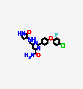 NC(=O)c1cc(CNC2CCNC2=O)nc(-c2ccc(Oc3ccc(Cl)cc3F)cc2)n1